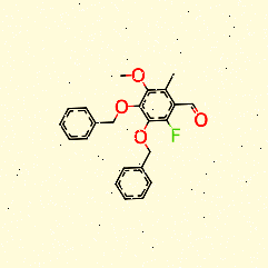 COc1c(C)c(C=O)c(F)c(OCc2ccccc2)c1OCc1ccccc1